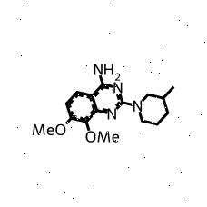 COc1ccc2c(N)nc(N3CCCC(C)C3)nc2c1OC